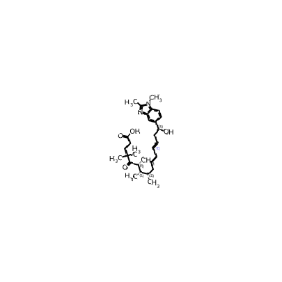 Cc1nc2cc([C@@H](O)C/C=C/CCC[C@H](C)[C@H](C)[C@@H](C)C(=O)C(C)(C)CCC(=O)O)ccc2n1C